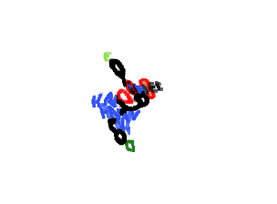 CCS(=O)(=O)Nc1ccc(-c2n[nH]c(Nc3ccc4ccc(Cl)cc4n3)c2C(N)=O)cc1OCc1ccc(F)cc1